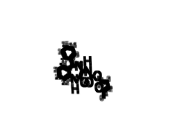 Cc1ccc(OC(=O)NC2N=C(c3ccccc3)c3ccccc3NC2=O)o1